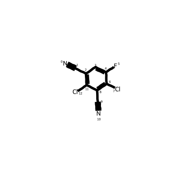 N#Cc1cc(F)c(Cl)c(C#N)c1Cl